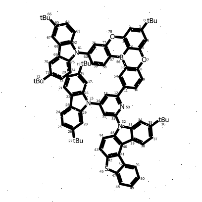 CC(C)(C)c1cc2c3c(c1)Oc1ccc(-c4cc(-n5c6cc(C(C)(C)C)ccc6c6ccc(C(C)(C)C)cc65)cc(-n5c6cc(C(C)(C)C)ccc6c6c7c(ccc65)sc5ccccc57)n4)cc1B3c1ccc(-n3c4ccc(C(C)(C)C)cc4c4cc(C(C)(C)C)ccc43)cc1O2